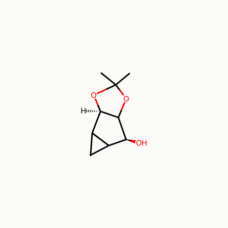 CC1(C)OC2[C@@H](O)C3CC3[C@H]2O1